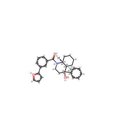 O=C(c1cccc(-c2ccco2)c1)N1CC[C@@](O)(c2ccccc2)[C@@H]2CCCC[C@H]21